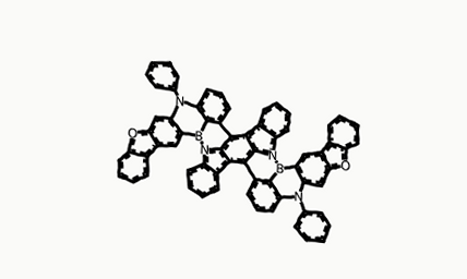 c1ccc(N2c3cc4oc5ccccc5c4cc3B3c4c(cccc42)-c2c4c5ccccc5n5c4c(c4c6ccccc6n3c24)-c2cccc3c2B5c2cc4c(cc2N3c2ccccc2)oc2ccccc24)cc1